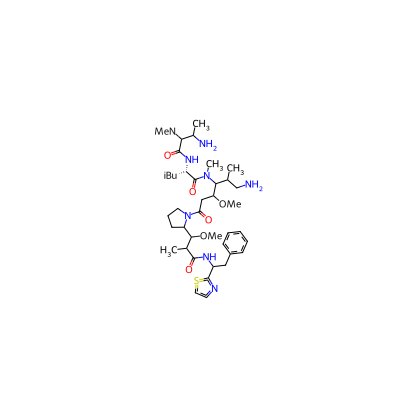 CC[C@@H](C)[C@H](NC(=O)C(NC)C(C)N)C(=O)N(C)C(C(C)CN)C(CC(=O)N1CCCC1C(OC)C(C)C(=O)NC(Cc1ccccc1)c1nccs1)OC